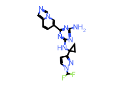 Nc1nc(NC2(c3ccn(C(F)F)n3)CC2)nc(-c2ccc3cncn3c2)n1